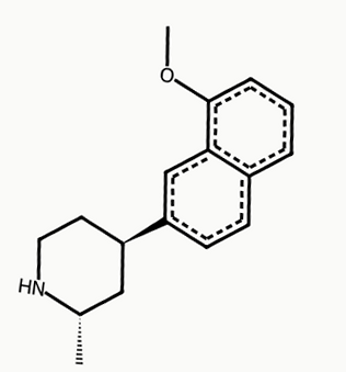 COc1cccc2ccc([C@@H]3CCN[C@@H](C)C3)cc12